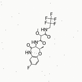 COC(C(=O)NCC(F)(F)C(F)(F)F)C(=O)N[C@@H]1C(=O)Nc2cc(F)ccc2O[C@@H]1C